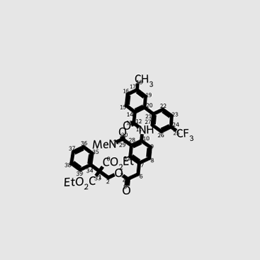 CCOC(=O)C(COC(=O)Cc1ccc(NC(=O)c2ccc(C)cc2-c2ccc(C(F)(F)F)cc2)c(C(=O)NC)c1)(C(=O)OCC)c1ccccc1